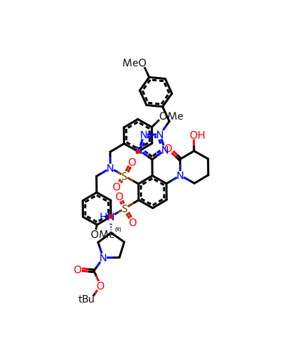 COc1ccc(CN(Cc2ccc(OC)cc2)S(=O)(=O)c2c(S(=O)(=O)N[C@@H]3CCN(C(=O)OC(C)(C)C)C3)ccc(N3CCCC(O)C3=O)c2-c2nnn(Cc3ccc(OC)cc3)n2)cc1